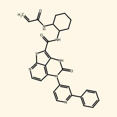 C=CC(=O)NC1CCCCC1NC(=O)c1sc2nccc3c2c1NC(=O)N3c1ccnc(-c2ccccc2)c1